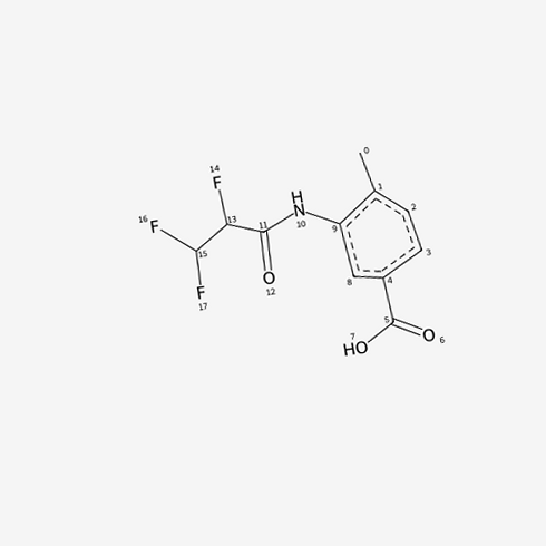 Cc1ccc(C(=O)O)cc1NC(=O)C(F)C(F)F